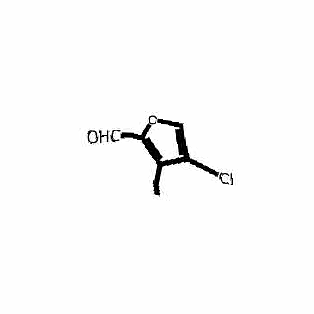 Cc1c(Cl)coc1C=O